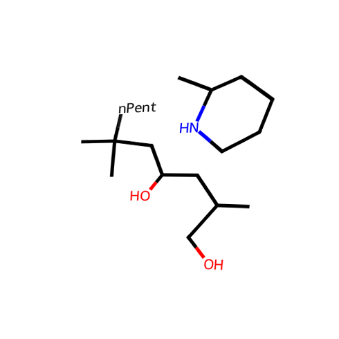 CC1CCCCN1.CCCCCC(C)(C)CC(O)CC(C)CO